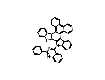 c1ccc(-c2nc(-n3c4ccccc4c4c5c6ccccc6c6ccccc6c5c5c6ccccc6oc5c43)c3ccccc3n2)cc1